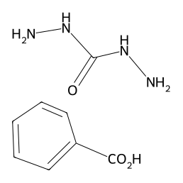 NNC(=O)NN.O=C(O)c1ccccc1